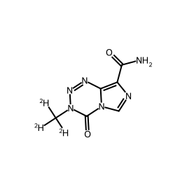 [2H]C([2H])([2H])n1nnc2c(C(N)=O)ncn2c1=O